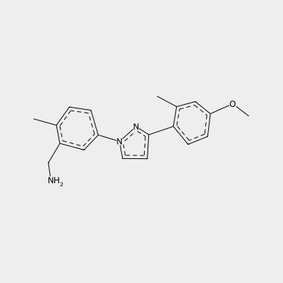 COc1ccc(-c2ccn(-c3ccc(C)c(CN)c3)n2)c(C)c1